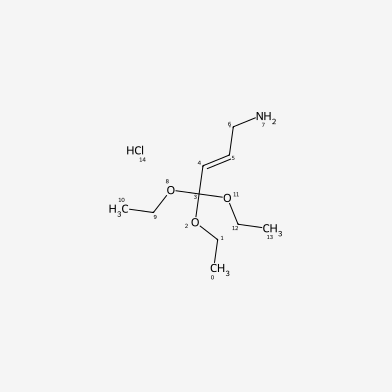 CCOC(/C=C/[CH]N)(OCC)OCC.Cl